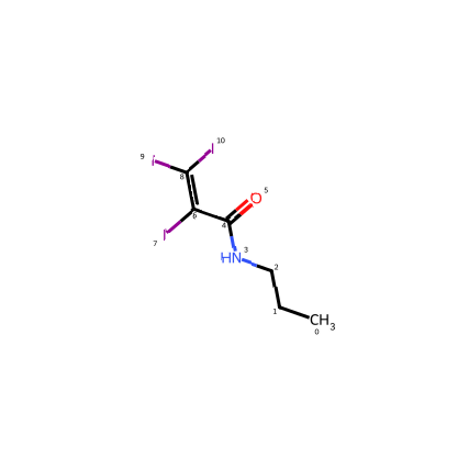 CCCNC(=O)C(I)=C(I)I